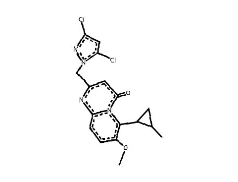 COc1ccc2nc(Cn3nc(Cl)cc3Cl)cc(=O)n2c1C1CC1C